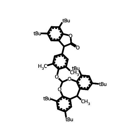 Cc1cc(C2C(=O)Oc3c2cc(C(C)(C)C)cc3C(C)(C)C)cc(C)c1OC1Oc2c(cc(C(C)(C)C)cc2C(C)(C)C)C(C)c2cc(C(C)(C)C)cc(C(C)(C)C)c2O1